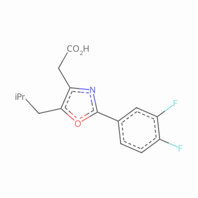 CC(C)Cc1oc(-c2ccc(F)c(F)c2)nc1CC(=O)O